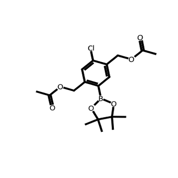 CC(=O)OCc1cc(B2OC(C)(C)C(C)(C)O2)c(COC(C)=O)cc1Cl